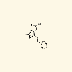 Cc1nc(/C=C/c2ccccc2)c(CC(=O)O)s1